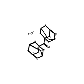 Cl.N=C(C12CC3CC(CC(C3)C1)C2)C12CC3CC(CC(C3)C1)C2